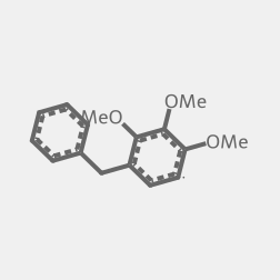 COc1[c]cc(Cc2ccccc2)c(OC)c1OC